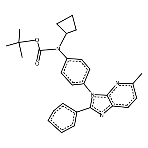 Cc1ccc2nc(-c3ccccc3)n(-c3ccc(N(C(=O)OC(C)(C)C)C4CCC4)cc3)c2n1